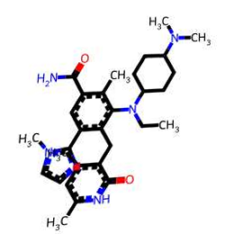 CCN(c1c(C)c(C(N)=O)cc(-c2nccn2C)c1Cc1c(C)cc(C)[nH]c1=O)C1CCC(N(C)C)CC1